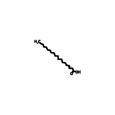 CCCCCCCCCCCCCCCC/C=C/CC(=O)O